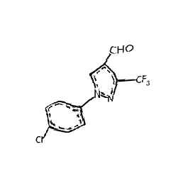 O=Cc1cn(-c2ccc(Cl)cc2)nc1C(F)(F)F